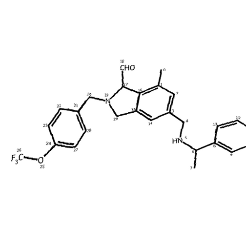 Cc1cc(CNC(C)c2ccccc2)cc2c1C(C=O)N(Cc1ccc(OC(F)(F)F)cc1)C2